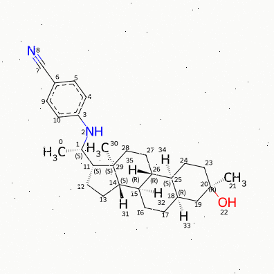 C[C@H](Nc1ccc(C#N)cc1)[C@H]1CC[C@H]2[C@@H]3CC[C@@H]4C[C@](C)(O)CC[C@@H]4[C@H]3CC[C@]12C